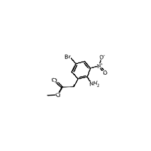 COC(=O)Cc1cc(Br)cc([N+](=O)[O-])c1N